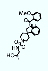 COc1ccccc1C(=O)NCC1(c2ccccc2)CCN(S(=O)(=O)NC[C@H](C)O)CC1